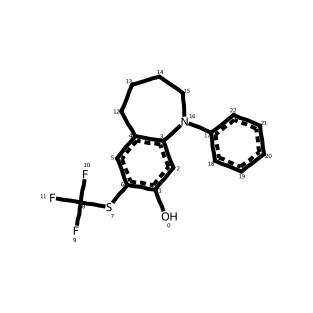 Oc1cc2c(cc1SC(F)(F)F)CCCCN2c1ccccc1